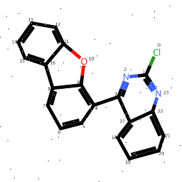 Clc1nc(-c2cccc3c2oc2ccccc23)c2ccccc2n1